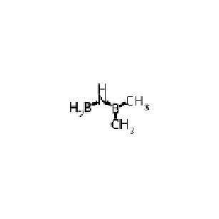 BNB(C)C